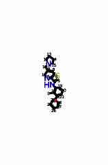 Cc1c(Nc2csc3cc(CN4CCCC4)cnc23)cccc1-c1ccccc1